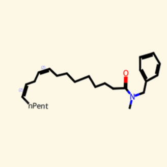 CCCCC/C=C\C/C=C\CCCCCCCC(=O)N(C)Cc1ccccc1